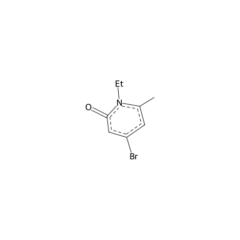 CCn1c(C)cc(Br)cc1=O